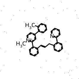 Cc1ccccc1-c1cc[n+](C)c(-c2ccccc2/C=C/Cc2ccccc2-c2ccccn2)c1